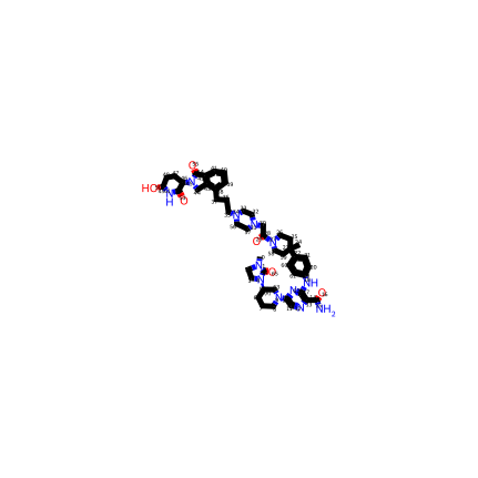 CN1CCN([C@@H]2CCCN(c3cnc(C(N)=O)c(Nc4ccc(C5(C)CCN(C(=O)CN6CCN(CCCc7cccc8c7CN(C7CCC(O)NC7=O)C8=O)CC6)CC5)cc4)n3)C2)C1=O